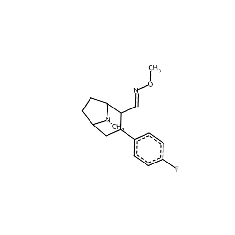 CON=CC1C(c2ccc(F)cc2)CC2CCC1N2C